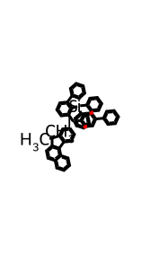 CC1(C)c2cc(N(c3ccc(-c4ccccc4)cc3)c3cccc4c3[Si](c3ccccc3)(c3ccccc3)c3ccccc3-4)ccc2-c2c1ccc1ccccc21